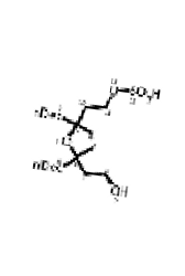 CCCCCCCCCCC(C)(CCO)OC(C)(CCCCCCCCCC)CCOS(=O)(=O)O